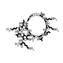 CCC(C)[C@@H]1NC(=O)[C@H](CCCCN)NC(=O)[C@H](CCCCN)NC(=O)[C@](C)(NC)CCCCCCC=CCCC[C@@](C)(C(=O)N[C@H](C(=O)N[C@@H](CCCCN)C(=O)NC(C(=O)N[C@H](C(=O)NC(CCCCN)C(N)=O)C(C)C)C(C)C)[C@@H](C)CC)NC(=O)[C@H](CCCCN)NC(=O)CNC(=O)[C@H](CC(C)C)NC1=O